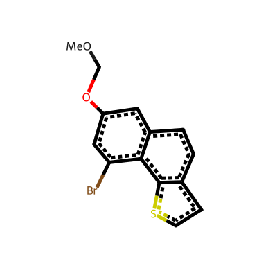 COCOc1cc(Br)c2c(ccc3ccsc32)c1